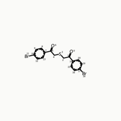 O=C(CSCC(=O)c1ccc(Br)cc1)c1ccc(Br)cc1